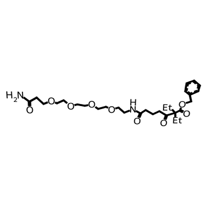 CCC(CC)(C(=O)CCCC(=O)NCCOCCOCCOCCOCCC(N)=O)C(=O)OCc1ccccc1